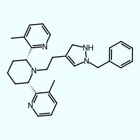 Cc1cccnc1[C@H]1CCC[C@@H](c2ncccc2C)N1CCC1=CN(Cc2ccccc2)NC1